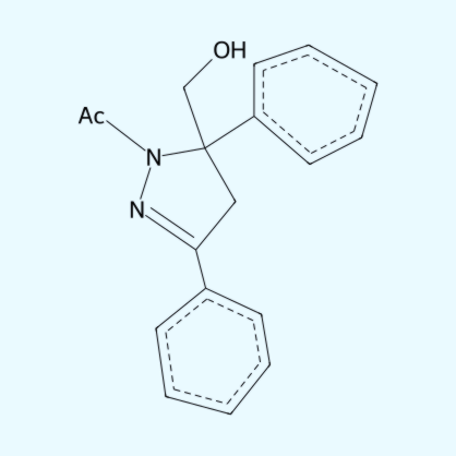 CC(=O)N1N=C(c2ccccc2)CC1(CO)c1ccccc1